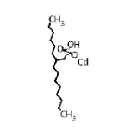 CCCCCCCCC(CCCCCC)CS(=O)(=O)O.[Cd]